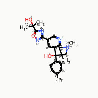 CC(C)c1ccc(C(O)(c2cncc(-c3noc(C(C)(C)O)n3)c2)C2(C)CN(C)C2)cc1